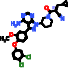 COc1cc(-c2nn(C3CCCN(C(=O)/C(C#N)=C/C4CC4)C3)c3ncnc(N)c23)ccc1Oc1ccc(Cl)c(Cl)c1